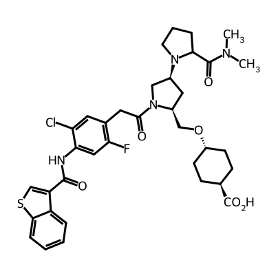 CN(C)C(=O)C1CCCN1[C@H]1C[C@@H](CO[C@H]2CC[C@H](C(=O)O)CC2)N(C(=O)Cc2cc(Cl)c(NC(=O)c3csc4ccccc34)cc2F)C1